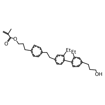 C=C(C)C(=O)OCCCc1ccc(CCc2ccc(-c3ccc(CCCO)cc3CC)c(CC)c2)cc1